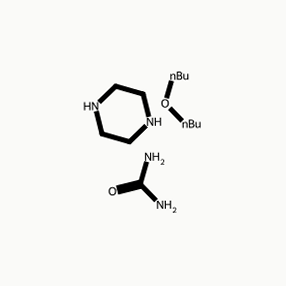 C1CNCCN1.CCCCOCCCC.NC(N)=O